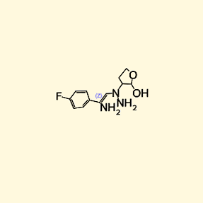 N/C(=C\N(N)C1CCOC1O)c1ccc(F)cc1